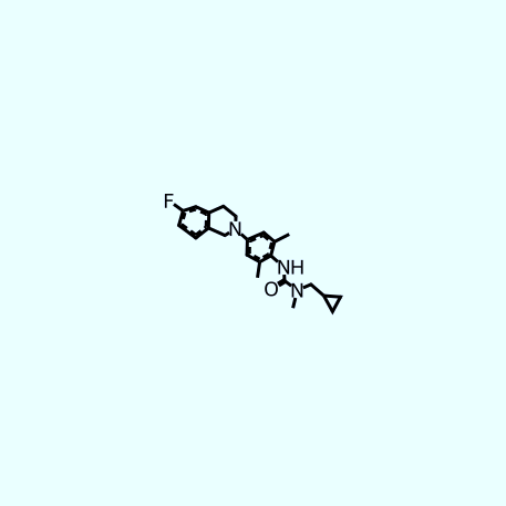 Cc1cc(N2CCc3cc(F)ccc3C2)cc(C)c1NC(=O)N(C)CC1CC1